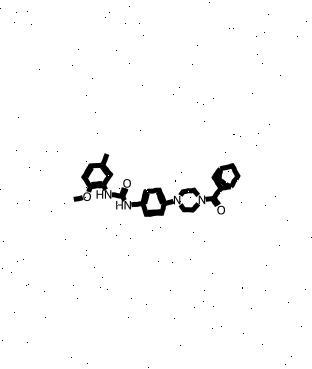 COc1ccc(C)cc1NC(=O)Nc1ccc(N2CCN(C(=O)C3CC4CCC3C4)CC2)cc1